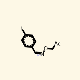 CC(=O)CO/N=C\c1ccc(I)cc1